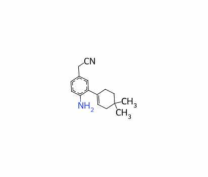 CC1(C)CC=C(c2cc(CC#N)ccc2N)CC1